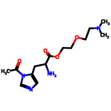 CC(=O)n1cncc1CC(N)C(=O)OCCOCCN(C)C